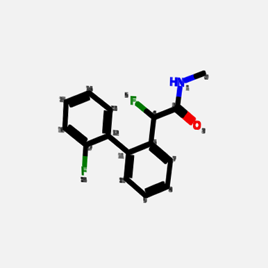 CNC(=O)C(F)c1ccccc1-c1ccccc1F